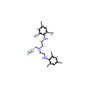 Cc1cc(C)c(NCCN(C)CCNc2c(C(C)C)cc(C)cc2C(C)C)c(C)c1.[Cl-].[Cl-].[Co+2]